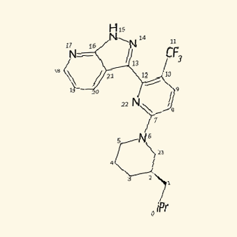 CC(C)C[C@H]1CCCN(c2ccc(C(F)(F)F)c(-c3n[nH]c4ncccc34)n2)C1